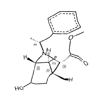 COC(=O)[C@@H]1[C@@H]2CC(O)[C@@H]([C@H]2F)N1[C@H](C)c1ccccc1